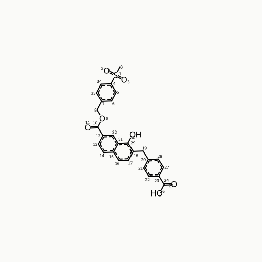 CS(=O)(=O)c1ccc(COC(=O)c2ccc3ccc(Cc4ccc(C(=O)O)cc4)c(O)c3c2)cc1